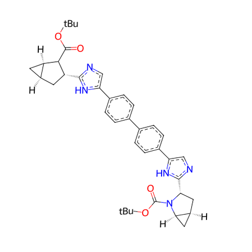 CC(C)(C)OC(=O)C1[C@H](c2ncc(-c3ccc(-c4ccc(-c5cnc([C@@H]6C[C@H]7C[C@H]7N6C(=O)OC(C)(C)C)[nH]5)cc4)cc3)[nH]2)C[C@H]2C[C@@H]12